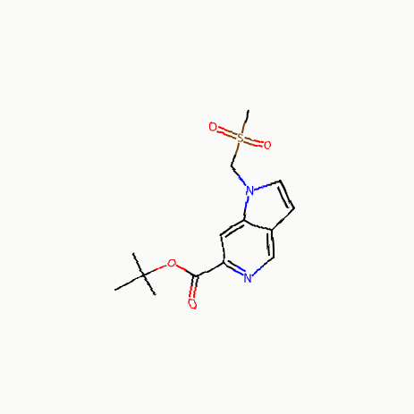 CC(C)(C)OC(=O)c1cc2c(ccn2CS(C)(=O)=O)cn1